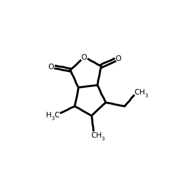 CCC1C(C)C(C)C2C(=O)OC(=O)C12